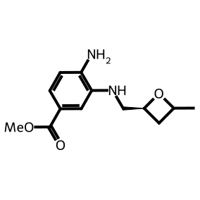 COC(=O)c1ccc(N)c(NC[C@@H]2CC(C)O2)c1